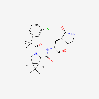 CC1(C)[C@@H]2[C@@H](C(=O)N[C@H](C=O)C[C@@H]3CCNC3=O)N(C(=O)C3(c4cccc(Cl)c4)CC3)C[C@@H]21